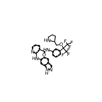 O=C(Nc1cccc(C(OCC2CCCN2)(C(F)(F)F)C(F)(F)F)c1)c1cccnc1Nc1ccc2cn[nH]c2c1